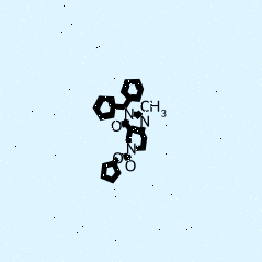 Cc1nc2c(c(=O)n1C(c1ccccc1)c1ccccc1)CN(C(=O)OC1CCCC1)CC2